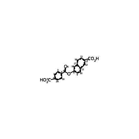 O=C(O)c1ccc(C(=O)Oc2ccc3cc(C(=O)O)ccc3c2)cc1